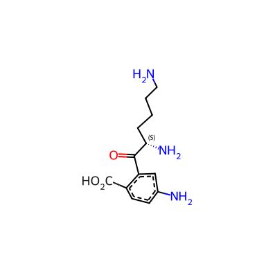 NCCCC[C@H](N)C(=O)c1cc(N)ccc1C(=O)O